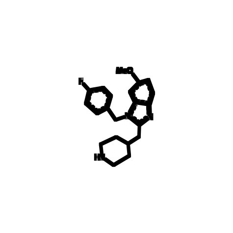 COc1ccc2nc(CC3CCNCC3)n(Cc3ccc(F)cc3)c2c1